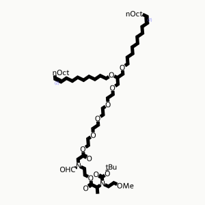 CCCCCCCC/C=C\CCCCCCCCOCC(COCCOCCOCCOCCOC(=O)CN(C=O)CCOC(=O)C(C)N(CCOC)C(=O)OC(C)(C)C)OCCCCCCCC/C=C\CCCCCCCC